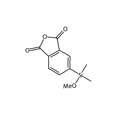 CO[Si](C)(C)c1ccc2c(c1)C(=O)OC2=O